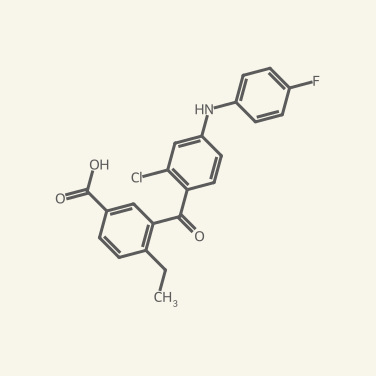 CCc1ccc(C(=O)O)cc1C(=O)c1ccc(Nc2ccc(F)cc2)cc1Cl